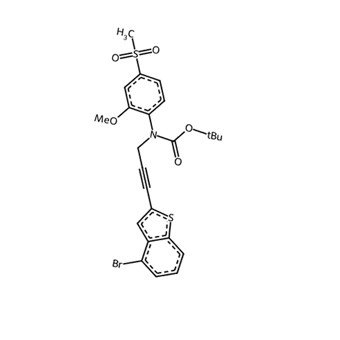 COc1cc(S(C)(=O)=O)ccc1N(CC#Cc1cc2c(Br)cccc2s1)C(=O)OC(C)(C)C